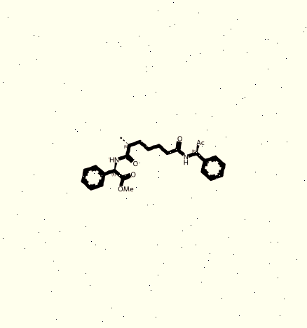 COC(=O)[C@H](NC(=O)[C@H](C)CCCCC(=O)N[C@@H](C(C)=O)c1ccccc1)c1ccccc1